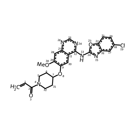 C=CC(=O)N1CCC(Oc2cc3c(Nc4nc5cc(Cl)ccc5o4)ncnc3cc2OC)CC1